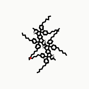 CCCCCCc1ccc(C2(c3ccc(CCCCCC)cc3)c3cc4c(cc3-c3sc(C)cc32)C(c2ccc(CCCCCC)cc2)(c2ccc(CCCCCC)cc2)c2c-4sc3c4c(sc23)-c2cc3c(cc2C4(c2ccc(CCCCCC)cc2)c2ccc(CCCCCC)cc2)-c2sc(C)cc2C3(c2ccc(CCCCCC)cc2)c2ccc(CCCCCC)cc2)cc1